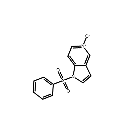 O=S(=O)(c1ccccc1)n1ccc2c[n+]([O-])ccc21